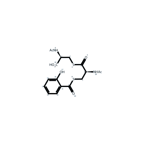 CC(=O)N[C@@H](CSC(=O)[C@H](CSC(=O)c1ccccc1O)NC(C)=O)C(=O)O